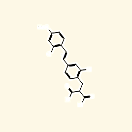 CCC(=O)C(Cc1ccc(/C=C/c2ccc(OC)cc2Cl)cc1Cl)C(=O)CC